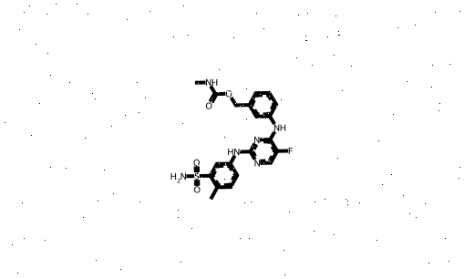 CNC(=O)OCc1cccc(Nc2nc(Nc3ccc(C)c(S(N)(=O)=O)c3)ncc2F)c1